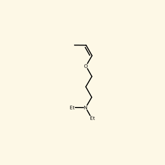 C/C=C\OCCCN(CC)CC